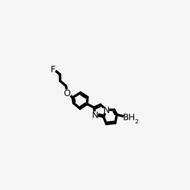 Bc1ccc2nc(-c3ccc(OCCCF)cc3)cn2c1